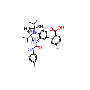 BC(B)(C(C)C)N(c1ccc(-c2cc(F)ccc2C(=O)O)cc1NC(=O)Nc1ccc(C)cc1)C(B)(B)C(C)C